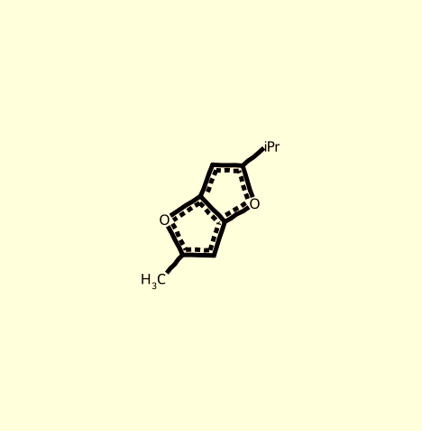 Cc1cc2oc(C(C)C)cc2o1